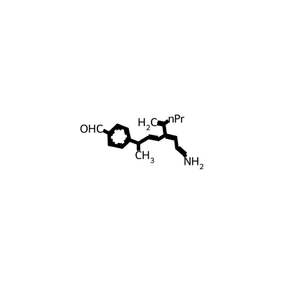 C=C(CCC)C(/C=C/C(C)c1ccc(C=O)cc1)=C/C=C/N